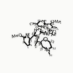 COc1cccc(-c2nnc(NS(=O)(=O)C(C)C(OC)c3ncc(Cl)cn3)n2C(C)[C@@H]2CN(C)CCO2)n1